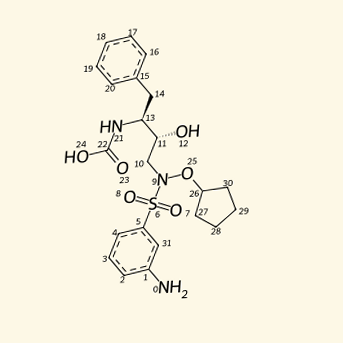 Nc1cccc(S(=O)(=O)N(C[C@@H](O)[C@H](Cc2ccccc2)NC(=O)O)OC2CCCC2)c1